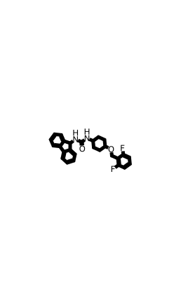 O=C(NC1CCC(OCc2c(F)cccc2F)CC1)NC1c2ccccc2-c2ccccc21